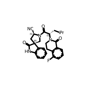 CC(C)C[C@@H](C(=O)N1C[C@]2(C[C@H]1C#N)C(=O)Nc1ccccc12)N1CCc2c(F)cccc2C1=O